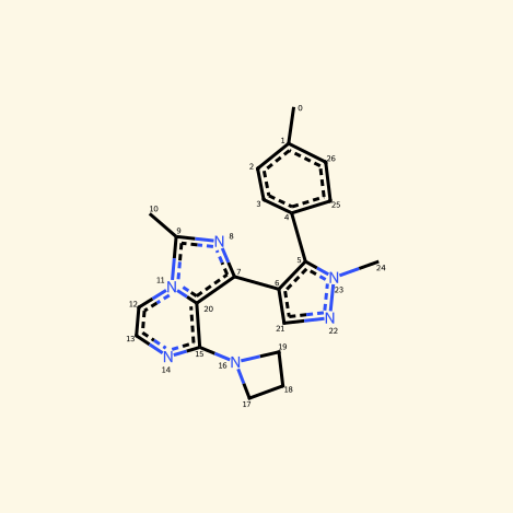 Cc1ccc(-c2c(-c3nc(C)n4ccnc(N5CCC5)c34)cnn2C)cc1